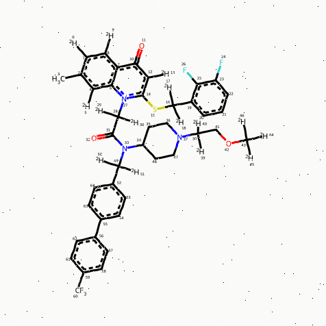 [2H]c1c(C)c([2H])c2c(c1[2H])c(=O)c([2H])c(SC([2H])([2H])c1cccc(F)c1F)n2C([2H])([2H])C(=O)N(C1CCN(C([2H])([2H])COC([2H])([2H])[2H])CC1)C([2H])([2H])c1ccc(-c2ccc(C(F)(F)F)cc2)cc1